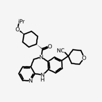 CC(C)O[C@H]1CC[C@H](C(=O)N2Cc3cccnc3Nc3ccc(C4(C#N)CCOCC4)cc32)CC1